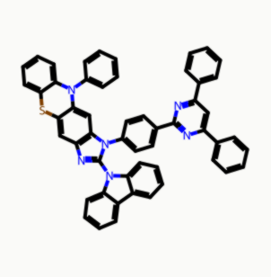 c1ccc(-c2cc(-c3ccccc3)nc(-c3ccc(-n4c(-n5c6ccccc6c6ccccc65)nc5cc6c(cc54)N(c4ccccc4)c4ccccc4S6)cc3)n2)cc1